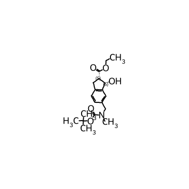 CCOC(=O)[C@H]1Cc2ccc(CN(C)C(=O)OC(C)(C)C)cc2[C@H]1O